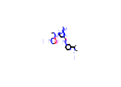 CCN(c1cc(C(=O)Nc2ccc3[nH]c(C)c(C)c3c2)nc(N(C)C)n1)C1CNCCO1